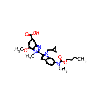 CCCCOC(=O)N(C)c1ccc2cc(-c3nc4cc(C(=O)O)cc(OC)c4n3C)n(CC3CC3)c2c1